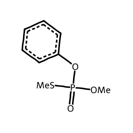 COP(=O)(Oc1ccccc1)SC